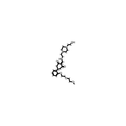 COCCOCCOc1ccccc1C1CC(=O)C(=CNCCN2CCN(CCO)CC2)C(=O)C1